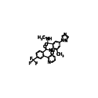 CNC(=O)c1cc(-n2cncn2)cc(C)c1NC(=O)c1ccc(C(F)(F)F)cc1-c1ncccc1Cl